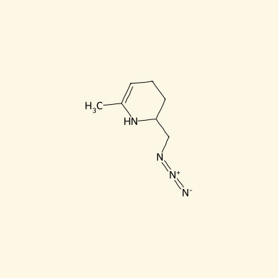 CC1=CCCC(CN=[N+]=[N-])N1